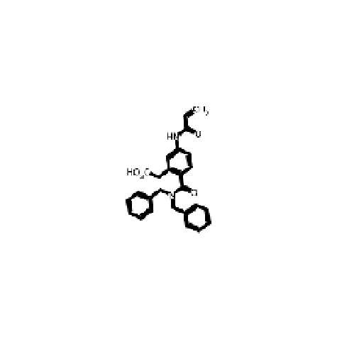 C=CC(=O)Nc1ccc(C(=O)N(Cc2ccccc2)Cc2ccccc2)c(CC(=O)O)c1